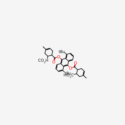 CC1=CCC(C(=O)Oc2c3cccc(C(C)(C)C)c3c(OC(=O)C3CC=C(C)CC3C(=O)O)c3cccc(C(C)(C)C)c23)C(C(=O)O)C1